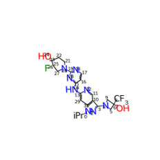 CC(C)n1nc(N2CC(O)(C(F)(F)F)C2)c2cnc(Nc3ccnc(N4CC[C@@H](O)[C@@H](F)C4)n3)cc21